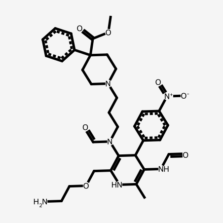 COC(=O)C1(c2ccccc2)CCN(CCCN(C=O)C2=C(COCCN)NC(C)=C(NC=O)C2c2ccc([N+](=O)[O-])cc2)CC1